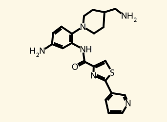 NCC1CCN(c2ccc(N)cc2NC(=O)c2csc(-c3cccnc3)n2)CC1